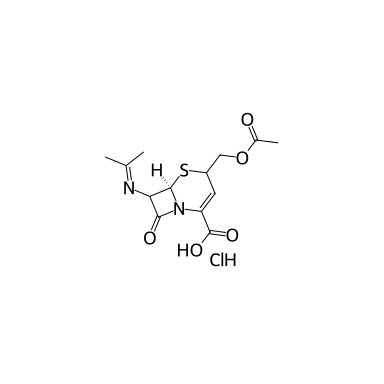 CC(=O)OCC1C=C(C(=O)O)N2C(=O)C(N=C(C)C)[C@H]2S1.Cl